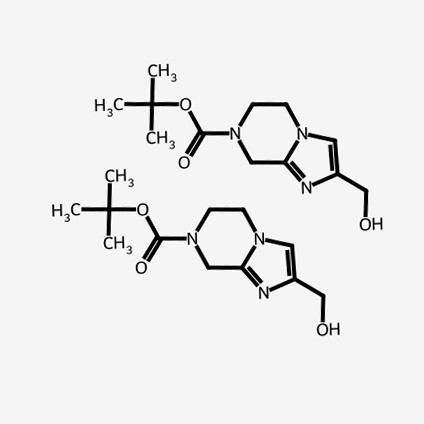 CC(C)(C)OC(=O)N1CCn2cc(CO)nc2C1.CC(C)(C)OC(=O)N1CCn2cc(CO)nc2C1